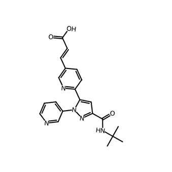 CC(C)(C)NC(=O)c1cc(-c2ccc(/C=C/C(=O)O)cn2)n(-c2cccnc2)n1